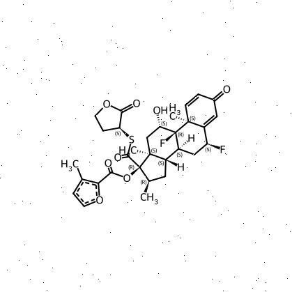 Cc1ccoc1C(=O)O[C@]1(C(=O)S[C@H]2CCOC2=O)[C@H](C)C[C@H]2[C@@H]3C[C@H](F)C4=CC(=O)C=C[C@]4(C)[C@@]3(F)[C@@H](O)C[C@@]21C